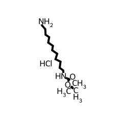 CC(C)(C)OC(=O)NCCCCCCCCCCCCN.Cl